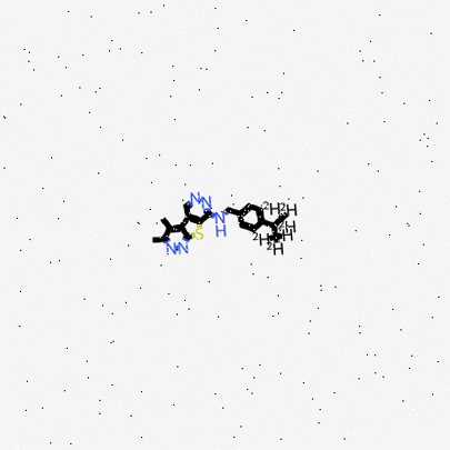 [2H]C([2H])([2H])C(c1ccc(CNc2nncc3c2sc2nnc(C)c(C)c23)cc1)C([2H])([2H])[2H]